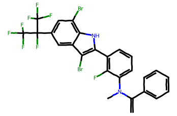 C=C(c1ccccc1)N(C)c1cccc(-c2[nH]c3c(Br)cc(C(F)(C(F)(F)F)C(F)(F)F)cc3c2Br)c1F